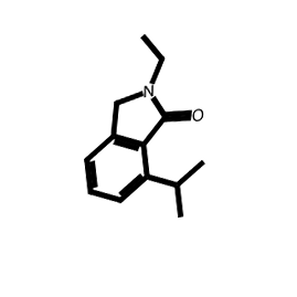 CCN1Cc2cccc(C(C)C)c2C1=O